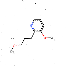 COCCCc1ncccc1OC